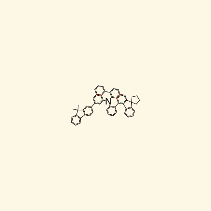 CC1(C)c2ccccc2-c2ccc(-c3cccc(N(c4ccccc4-c4ccccc4)c4ccccc4-c4cccc5c4-c4ccccc4C54CCCC4)c3)cc21